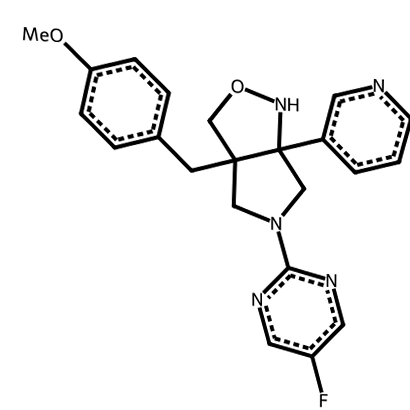 COc1ccc(CC23CONC2(c2cccnc2)CN(c2ncc(F)cn2)C3)cc1